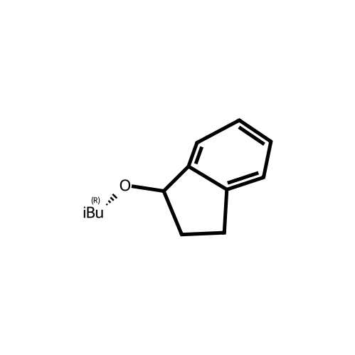 CC[C@@H](C)OC1CCc2ccccc21